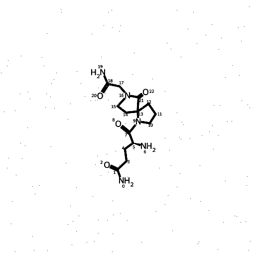 NC(=O)CC[C@H](N)C(=O)N1CCCC12CCN(CC(N)=O)C2=O